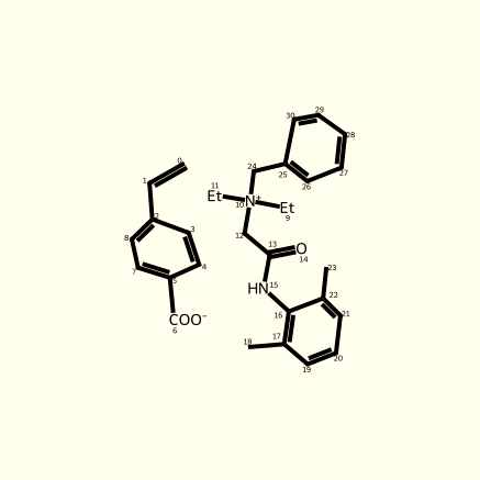 C=Cc1ccc(C(=O)[O-])cc1.CC[N+](CC)(CC(=O)Nc1c(C)cccc1C)Cc1ccccc1